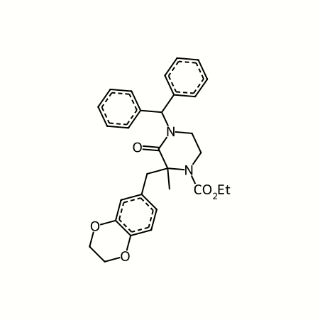 CCOC(=O)N1CCN(C(c2ccccc2)c2ccccc2)C(=O)C1(C)Cc1ccc2c(c1)OCCO2